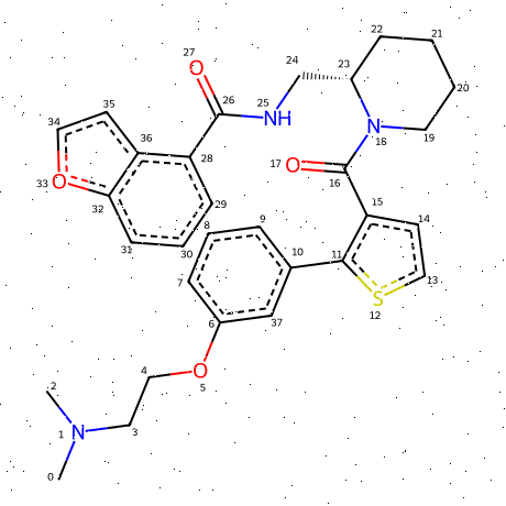 CN(C)CCOc1cccc(-c2sccc2C(=O)N2CCCC[C@H]2CNC(=O)c2cccc3occc23)c1